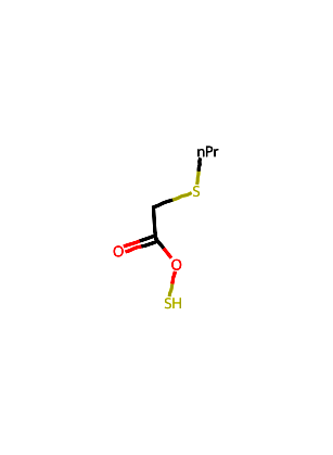 CCCSCC(=O)OS